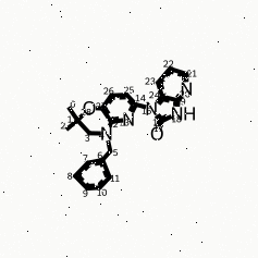 CC1(C)CN(Cc2ccccc2)c2nc(-n3c(=O)[nH]c4ncccc43)ccc2O1